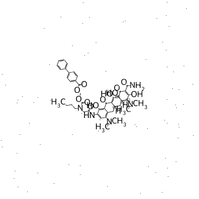 CCCCN(CC(=O)Nc1cc(N(C)C)c2c(c1O)C(=O)C1=C(O)[C@]3(O)C(=O)C(C(N)=O)=C(O)[C@@H](N(C)C)[C@@H]3C[C@@H]1C2)C(=O)OCOC(=O)c1ccc(-c2ccccc2)cc1